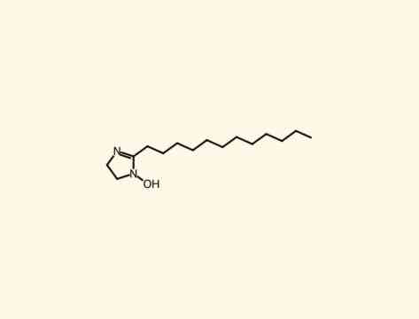 CCCCCCCCCCCCC1=NCCN1O